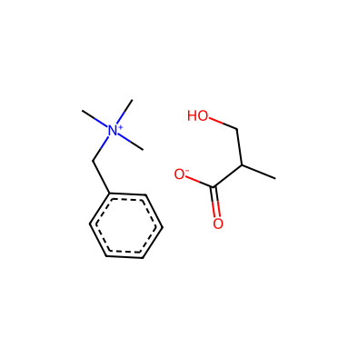 CC(CO)C(=O)[O-].C[N+](C)(C)Cc1ccccc1